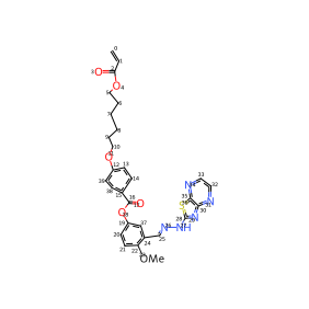 C=CC(=O)OCCCCCCOc1ccc(C(=O)Oc2ccc(OC)c(/C=N/Nc3nc4nccnc4s3)c2)cc1